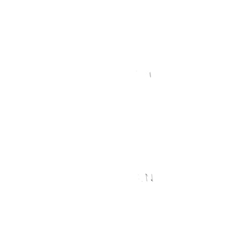 CCCc1ccc(C#N)cc1C